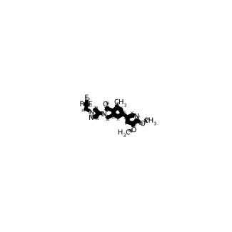 COc1cc(-c2cc(C)c3c(c2)CN(c2cnn(CC(F)(F)F)c2)C3=O)cnc1OC